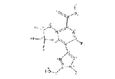 COC(=O)c1cc(F)c(-c2cn(C)c(CO)n2)cc1O[C@@H](C)C(F)(F)F